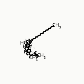 CCCCCCCC/C=C/CCCCCCCCNC(=O)O[C@@]1(O)CC[C@@]2(C)[C@H](CC[C@@H]3[C@@H]2CC[C@]2(C)[C@@H]([C@H](C)CCC(=O)OC)CC[C@@H]32)C1